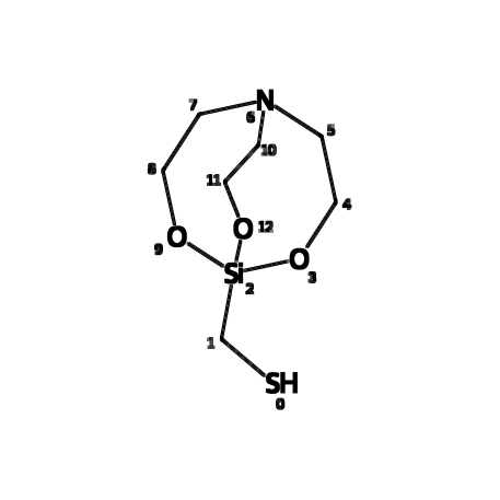 SC[Si]12OCCN(CCO1)CCO2